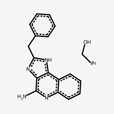 CC(C)CO.Nc1nc2ccccc2c2[nH]c(Cc3ccccc3)nc12